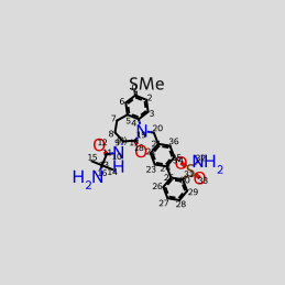 CSc1ccc2c(c1)CC[C@@H](NC(=O)C(C)(C)N)C(=O)N2Cc1ccc(-c2ccccc2S(N)(=O)=O)cc1